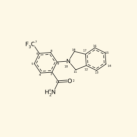 NC(=O)c1ccc(C(F)(F)F)cc1N1Cc2ccccc2C1